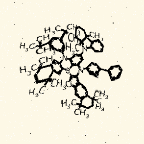 CC(C)(C)c1cc(N2c3cc4c(cc3B3c5oc6cc7c(cc6c5N(c5ccc(-c6ccccc6)cc5)c5cc(N6c8ccccc8C8(C)CCCCC68C)cc2c53)C(C)(C)CCC7(C)C)C(C)(C)CCC4(C)C)cc(C(C)(C)C)c1